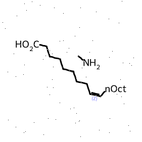 CCCCCCCC/C=C\CCCCCCCC(=O)O.CN